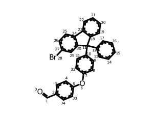 O=Cc1ccc(Oc2ccc(C3(c4ccccc4)c4ccccc4-c4ccc(Br)cc43)cc2)cc1